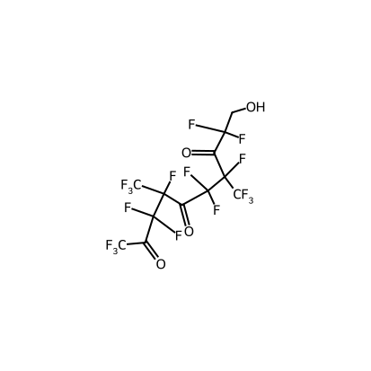 O=C(C(F)(F)F)C(F)(F)C(F)(C(=O)C(F)(F)C(F)(C(=O)C(F)(F)CO)C(F)(F)F)C(F)(F)F